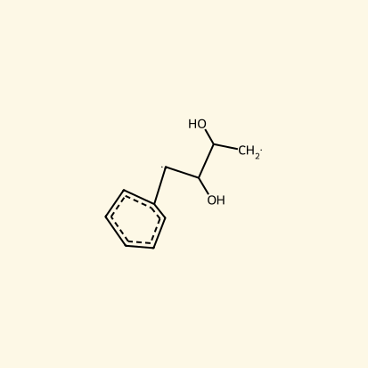 [CH2]C(O)C(O)[CH]c1ccccc1